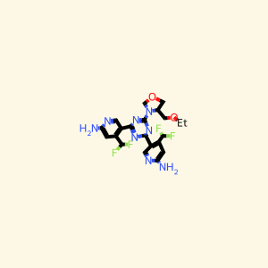 CCOCC1COCN1c1nc(-c2cnc(N)cc2C(F)F)nc(-c2cnc(N)cc2C(F)F)n1